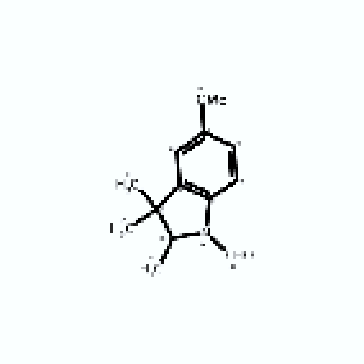 COc1ccc2c(c1)C(C)(C)C(C)N2C=O